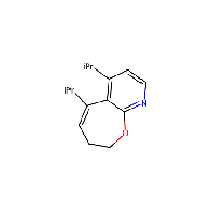 CC(C)C1=CCCOc2nccc(C(C)C)c21